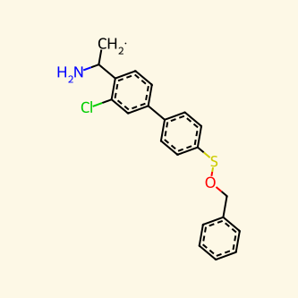 [CH2]C(N)c1ccc(-c2ccc(SOCc3ccccc3)cc2)cc1Cl